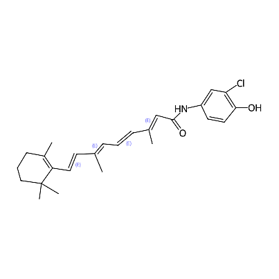 CC1=C(/C=C/C(C)=C/C=C/C(C)=C/C(=O)Nc2ccc(O)c(Cl)c2)C(C)(C)CCC1